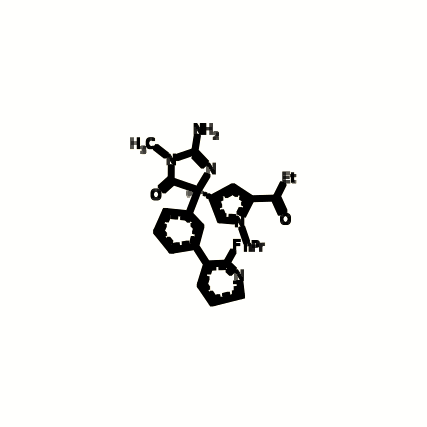 CCCn1cc([C@@]2(c3cccc(-c4cccnc4F)c3)N=C(N)N(C)C2=O)cc1C(=O)CC